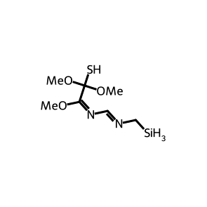 CO/C(=N/C=N/C[SiH3])C(S)(OC)OC